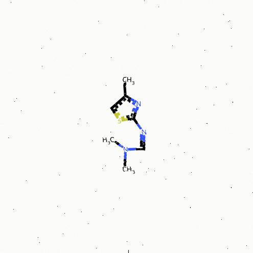 Cc1csc(/N=C\N(C)C)n1